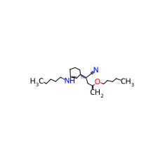 C=C(C/C(C#N)=C1\C=C(NCCCCC)CCC1)OCCCCC